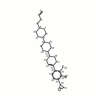 C=CCCC1CCC(C2CCC(C3CC=C(c4ccc(C5CO5)c(F)c4F)CC3)CC2)CC1